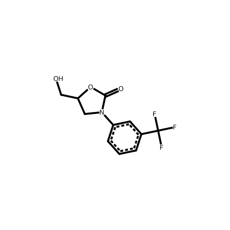 O=C1OC(CO)CN1c1cccc(C(F)(F)F)c1